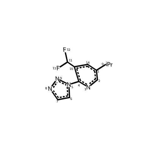 CC(C)c1cnc(-n2ccnn2)c(C(F)F)c1